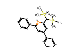 CS(C)(C)C(c1cc(-c2ccccc2)cc(-c2ccccc2)p1)S(C)(C)C